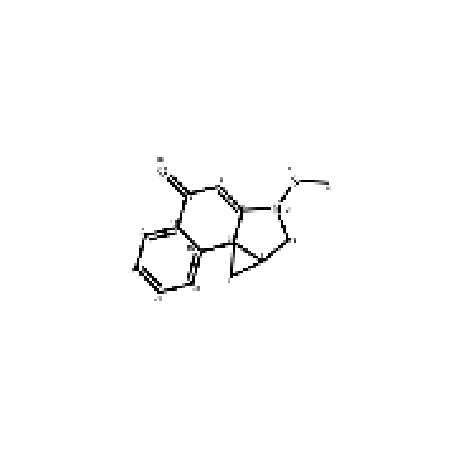 CSN1CC2CC23C1=CC(=O)c1ccccc13